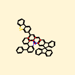 c1ccc(-c2ccccc2-c2c(-c3ccccc3)cccc2N(c2ccc(-c3ccc4c(c3)sc3ccccc34)cc2)c2ccc3c(c2)C2(c4ccccc4-c4ccccc42)c2ccccc2-3)cc1